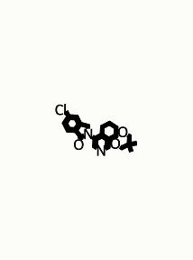 CC1(C)COC2(CCCc3c(N4Cc5cc(Cl)ccc5C4=O)cncc32)OC1